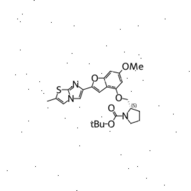 COc1cc(OC[C@@H]2CCCN2C(=O)OC(C)(C)C)c2cc(-c3cn4cc(C)sc4n3)oc2c1